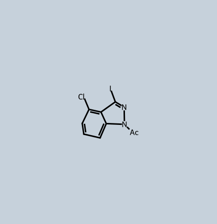 CC(=O)n1nc(I)c2c(Cl)cccc21